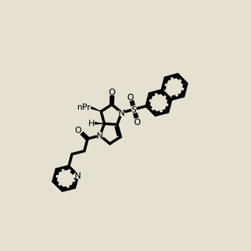 CCC[C@H]1C(=O)N(S(=O)(=O)c2ccc3ccccc3c2)C2=CCN(C(=O)CCc3ccccn3)[C@@H]21